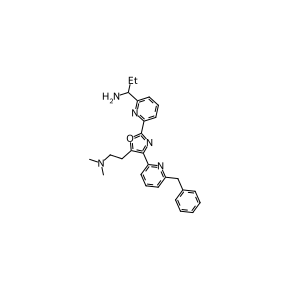 CCC(N)c1cccc(-c2nc(-c3cccc(Cc4ccccc4)n3)c(CCN(C)C)o2)n1